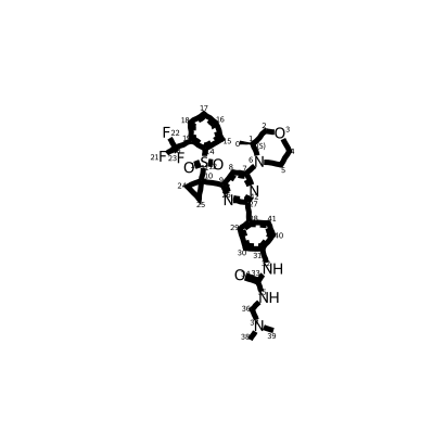 C[C@H]1COCCN1c1cc(C2(S(=O)(=O)c3ccccc3C(F)(F)F)CC2)nc(-c2ccc(NC(=O)NCN(C)C)cc2)n1